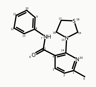 Cc1ccc(C(=O)Nc2cc[c]cc2)c(N2CCSC2)n1